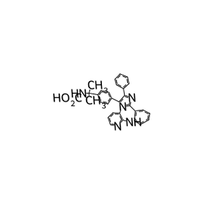 CC(C)(NC(=O)O)c1ccc(-c2c(-c3ccccc3)nc3n2-c2cccnc2Nc2ccccc2-3)cc1